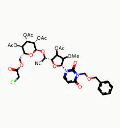 COC1C(OC(C)=O)[C@@H](C(C#N)O[C@H]2O[C@H](COC(=O)CCl)[C@@H](OC(C)=O)[C@H](OC(C)=O)[C@@H]2OC(C)=O)O[C@H]1n1ccc(=O)n(COCc2ccccc2)c1=O